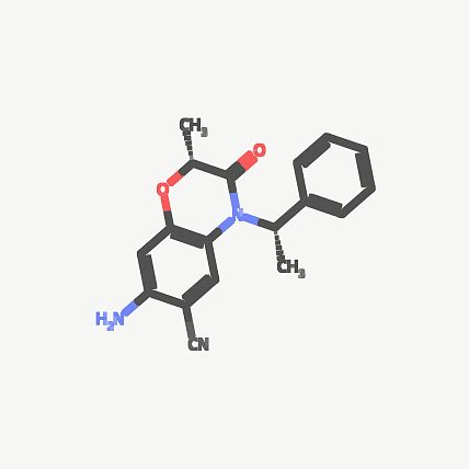 C[C@H]1Oc2cc(N)c(C#N)cc2N([C@@H](C)c2ccccc2)C1=O